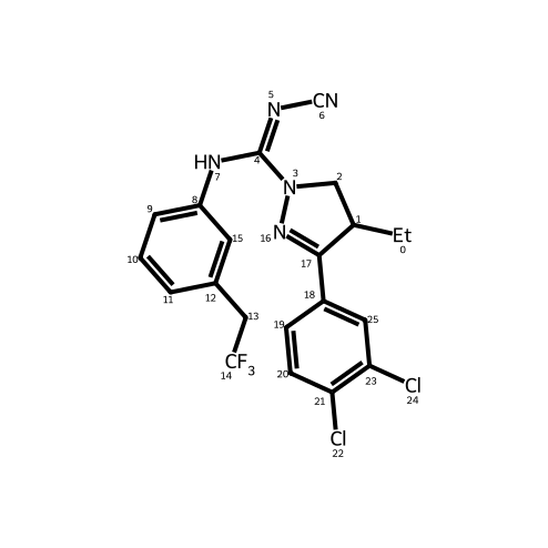 CCC1CN(/C(=N\C#N)Nc2cccc(CC(F)(F)F)c2)N=C1c1ccc(Cl)c(Cl)c1